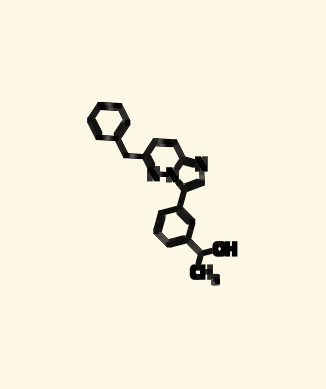 CC(O)c1cccc(-c2cnc3ccc(Cc4ccccc4)nn23)c1